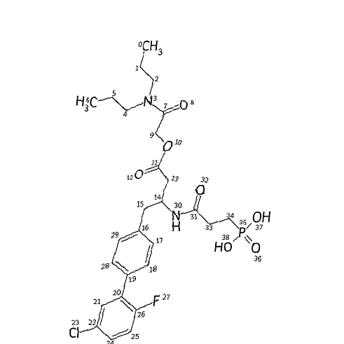 CCCN(CCC)C(=O)COC(=O)CC(Cc1ccc(-c2cc(Cl)ccc2F)cc1)NC(=O)CCP(=O)(O)O